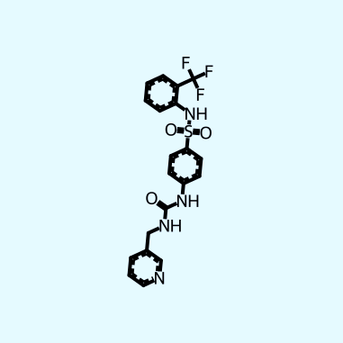 O=C(NCc1cccnc1)Nc1ccc(S(=O)(=O)Nc2ccccc2C(F)(F)F)cc1